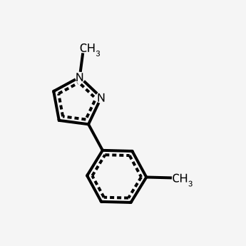 Cc1cccc(-c2ccn(C)n2)c1